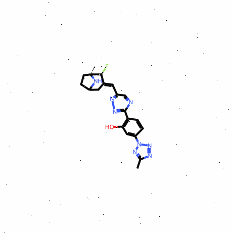 Cc1nnn(-c2ccc(-c3ncc(/C=C4\CC5CC[C@](C)(N5)[C@H]4F)nn3)c(O)c2)n1